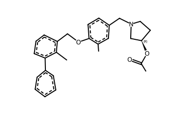 CC(=O)O[C@@H]1CCN(Cc2ccc(OCc3cccc(-c4ccccc4)c3C)c(C)c2)C1